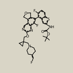 CC(C)(C)OC(=O)Nc1cc2c(-c3c4c(c5cnc(OCC6(CN7CCC(=CF)CC7)CC6)nc5c3F)COC4)c(F)ccc2s1